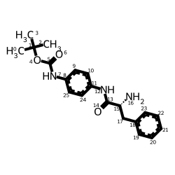 CC(C)(C)OC(=O)Nc1ccc(NC(=O)[C@H](N)Cc2ccccc2)cc1